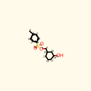 Cc1ccc(S(=O)(=O)OCC2CCCC(O)C2)cc1